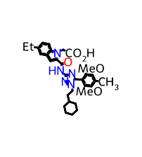 CCc1ccc2c(c1)cc(C(=O)Nc1nc(-c3c(OC)cc(C)cc3OC)n(CCC3CCCCC3)n1)n2CC(=O)O